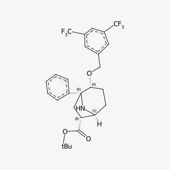 CC(C)(C)OC(=O)[C@@H]1C[C@]2(c3ccccc3)N[C@H]1CC[C@H]2OCc1cc(C(F)(F)F)cc(C(F)(F)F)c1